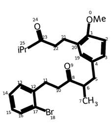 COc1ccc(CC(C)C(=O)CCc2ccccc2Br)cc1CCC(=O)C(C)C